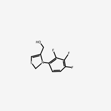 OCC1=CSCN1c1ccc(F)c(F)c1F